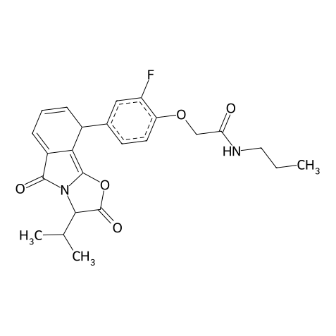 CCCNC(=O)COc1ccc(C2C=CC=C3C(=O)N4C(=C32)OC(=O)C4C(C)C)cc1F